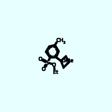 CCOS(=O)(=O)c1ccc(C)cc1C1(OC)CCC1